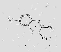 Cc1ccc(O[C@@H](C)CO)c(F)c1